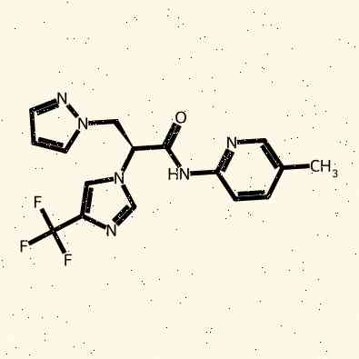 Cc1ccc(NC(=O)[C@H](Cn2cccn2)n2cnc(C(F)(F)F)c2)nc1